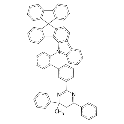 CC1(c2ccccc2)CC(c2ccccc2)=NC(c2cccc(-c3ccccc3-n3c4ccccc4c4ccc5c(c43)-c3ccccc3C53c4ccccc4-c4ccccc43)c2)=N1